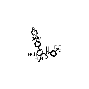 CN1CCN(S(=O)(=O)c2ccc(-c3cnc(N)c(C(=O)Nc4cccc(C(F)(F)F)c4)n3)cc2)CC1.Cl